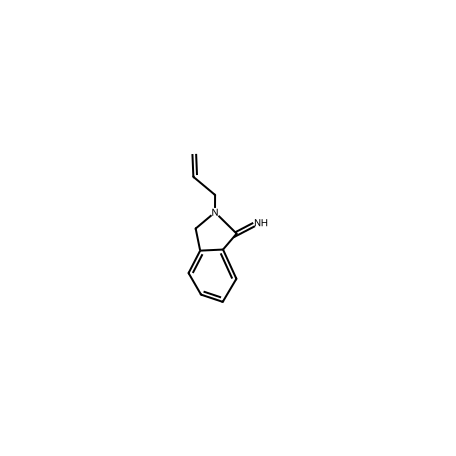 C=CCN1Cc2ccccc2C1=N